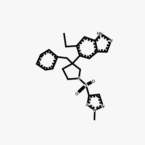 CCc1cc2[nH]ncc2cc1C1(Cc2ccccc2)CCN(S(=O)(=O)c2cnn(C)n2)C1